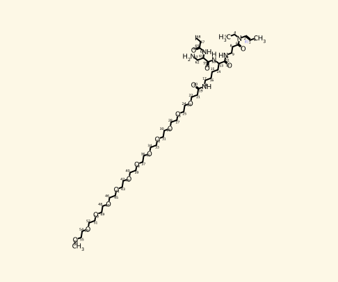 C/C=C/N(CC)C(=O)CCNC(=O)C(CCCCNC(=O)CCOCCOCCOCCOCCOCCOCCOCCOCCOCCOCCOCCOC)NC(=O)C(CN)NC(=O)CI